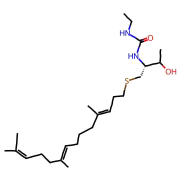 CCNC(=O)N[C@@H](CSCC/C=C(\C)CCC/C=C(\C)CCC=C(C)C)C(C)O